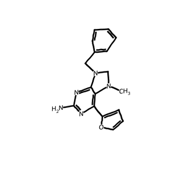 CN1CN(Cc2ccccc2)c2nc(N)nc(-c3ccco3)c21